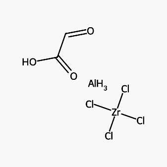 O=CC(=O)O.[AlH3].[Cl][Zr]([Cl])([Cl])[Cl]